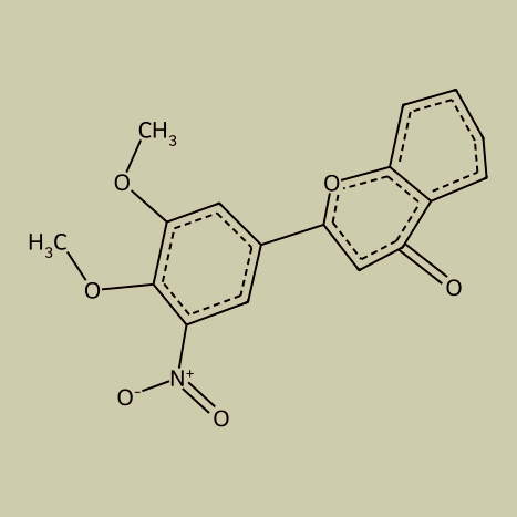 COc1cc(-c2cc(=O)c3ccccc3o2)cc([N+](=O)[O-])c1OC